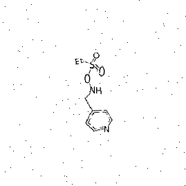 CCS(=O)(=O)ONCc1ccncc1